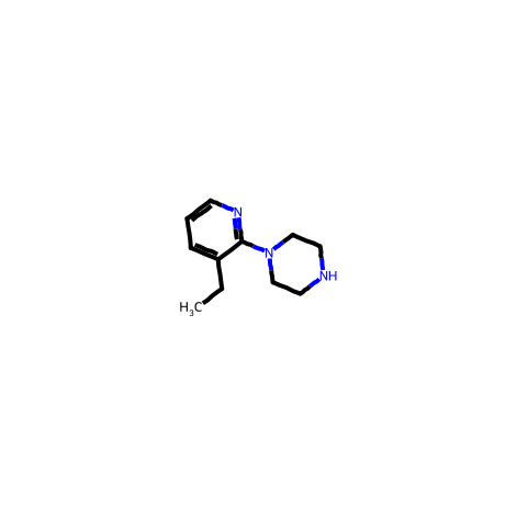 CCc1cccnc1N1CCNCC1